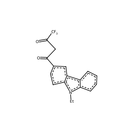 CCn1c2ccccc2c2cc(C(=O)CC(=O)C(F)(F)F)ccc21